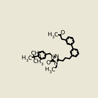 CCn1c(CCCc2cccc(-c3cccc(CC(C)=O)c3)c2)nn(Cc2ccc(C(C)(C)C)cc2)c1=O